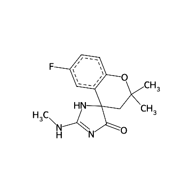 CNC1=NC(=O)C2(CC(C)(C)Oc3ccc(F)cc32)N1